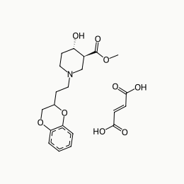 COC(=O)[C@H]1CN(CCC2COc3ccccc3O2)CC[C@@H]1O.O=C(O)/C=C/C(=O)O